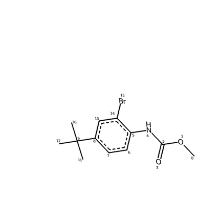 COC(=O)Nc1ccc(C(C)(C)C)cc1Br